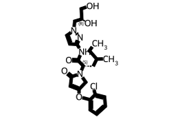 CCC(C)C[C@@H](C(=O)Nc1ccn(C[C@@H](O)CO)n1)N1CC(Oc2ccccc2Cl)=CC1=O